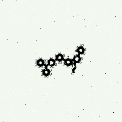 C/C=C/n1c2c(c3cc(-c4cccc(C5=CC=C(C(c6ccccc6)c6ccccc6)CC5)c4)ccc31)CC(c1ccccc1)C=C2